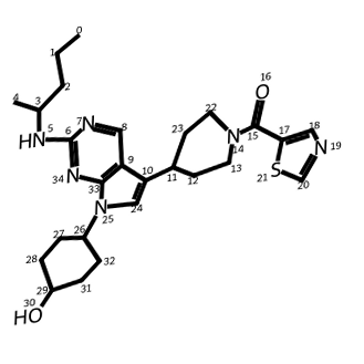 CCCC(C)Nc1ncc2c(C3CCN(C(=O)c4cncs4)CC3)cn(C3CCC(O)CC3)c2n1